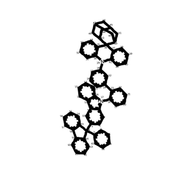 c1ccc(C2(c3ccc4c(c3)c3ccccc3n4-c3ccccc3-c3cccc(N4c5ccccc5C5(c6ccccc64)C4CC6CC(C4)CC5C6)c3)c3ccccc3-c3ccccc32)cc1